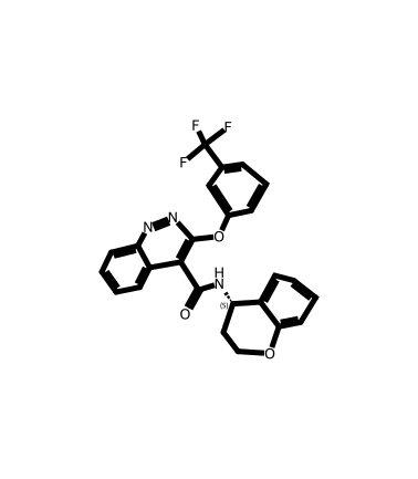 O=C(N[C@H]1CCOc2ccccc21)c1c(Oc2cccc(C(F)(F)F)c2)nnc2ccccc12